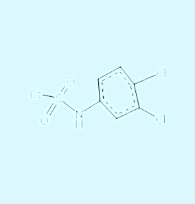 CCS(=O)(=O)Nc1ccc(Cl)c(Cl)c1